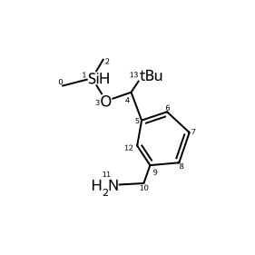 C[SiH](C)OC(c1cccc(CN)c1)C(C)(C)C